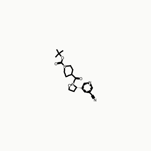 CC(C)(C)OC(=O)N1CCC(C(=O)N2OCC[C@H]2c2cncc(C#N)c2)CC1